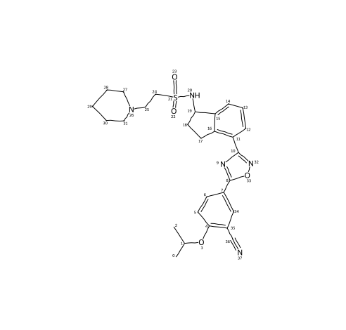 CC(C)Oc1ccc(-c2nc(-c3cccc4c3CCC4NS(=O)(=O)CCN3CCCCC3)no2)cc1C#N